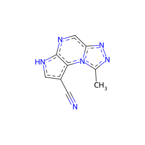 Cc1nnc2cnc3[nH]cc(C#N)c3n12